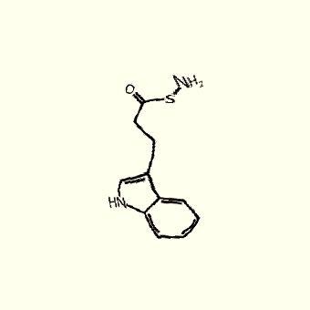 NSC(=O)CCc1c[nH]c2ccccc12